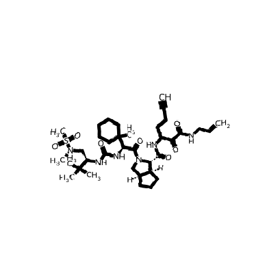 C#CCCC(NC(=O)[C@@H]1[C@H]2CCC[C@H]2CN1C(=O)[C@@H](NC(=O)N[C@H](CN(C)S(C)(=O)=O)C(C)(C)C)C1(C)CCCCC1)C(=O)C(=O)NCC=C